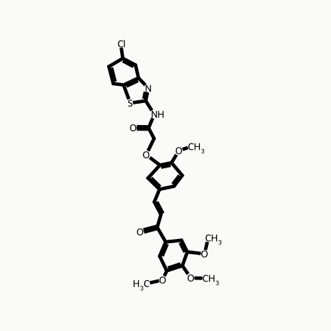 COc1ccc(/C=C/C(=O)c2cc(OC)c(OC)c(OC)c2)cc1OCC(=O)Nc1nc2cc(Cl)ccc2s1